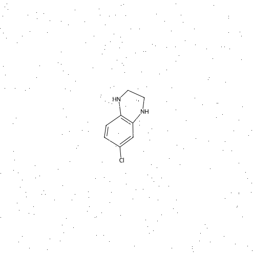 Clc1ccc2c(c1)NCCN2